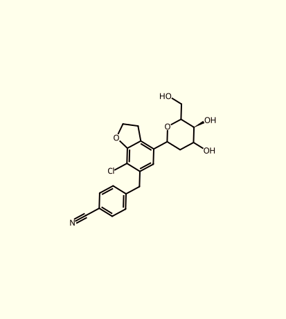 N#Cc1ccc(Cc2cc(C3CC(O)[C@H](O)C(CO)O3)c3c(c2Cl)OCC3)cc1